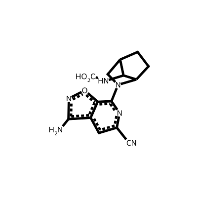 N#Cc1cc2c(N)noc2c(N2CC3CCC2C3NC(=O)O)n1